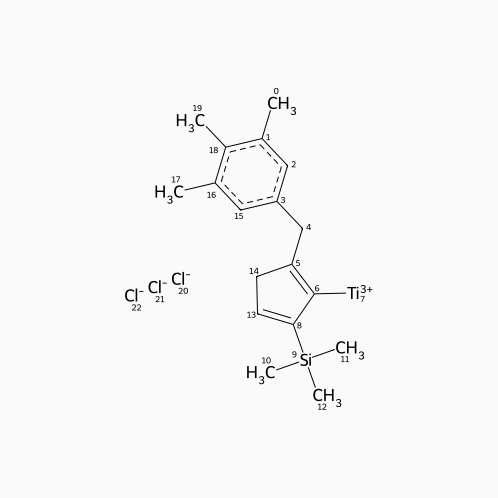 Cc1cc(CC2=[C]([Ti+3])C([Si](C)(C)C)=CC2)cc(C)c1C.[Cl-].[Cl-].[Cl-]